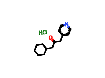 Cl.O=C(Cc1ccncc1)CC1CCCCC1